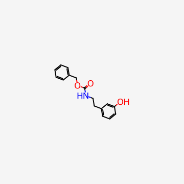 O=C(NCCc1cccc(O)c1)OCc1ccccc1